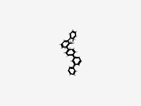 c1ccc(-c2cccc(-c3ccc(-c4cccc5c4oc4ccccc45)cc3)c2)cc1